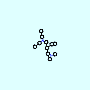 c1ccc(-c2ccc(N(c3ccc(-c4ccccc4)cc3)c3cccc(-c4ccc(-c5ccc6c7ccccc7n(-c7ccccc7)c6c5)cc4-c4ccc5ccccc5c4)c3)cc2)cc1